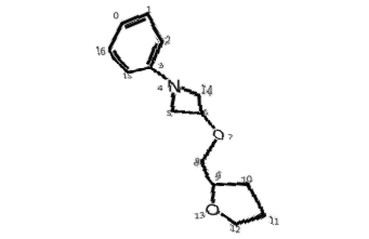 c1ccc(N2CC(OCC3CCCO3)C2)cc1